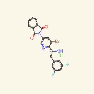 O=C1c2ccccc2C(=O)N1c1cnc([C@H](Cc2cc(F)cc(F)c2)NCl)c(Br)c1